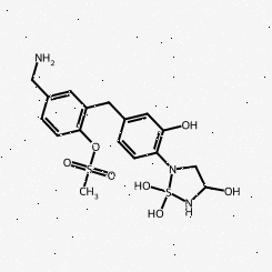 CS(=O)(=O)Oc1ccc(CN)cc1Cc1ccc(N2CC(O)NS2(O)O)c(O)c1